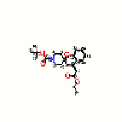 CCOC(=O)/C=C1\CC2(CCN(C(=O)OC(C)(C)C)CC2)Oc2ccccc21